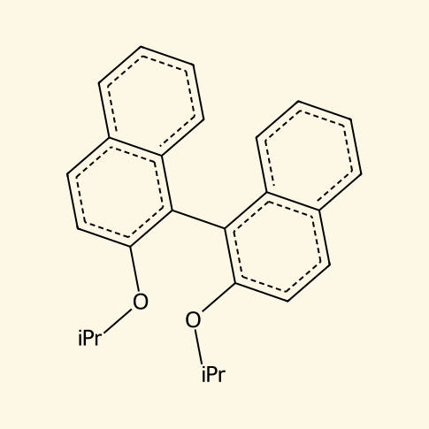 CC(C)Oc1ccc2ccccc2c1-c1c(OC(C)C)ccc2ccccc12